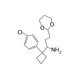 NC(CCC1OCCCO1)C1(c2ccc(Cl)cc2)CCC1